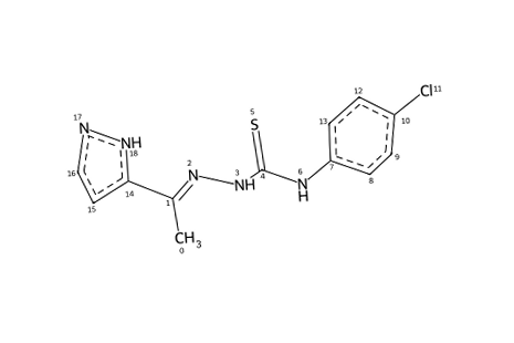 C/C(=N\NC(=S)Nc1ccc(Cl)cc1)c1ccn[nH]1